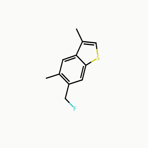 Cc1cc2c(C)csc2cc1CF